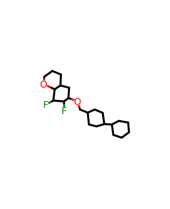 FC1C(OCC2CCC(C3CCCCC3)CC2)CC2CCCOC2C1F